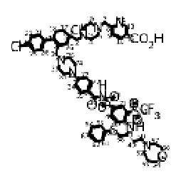 C[C@@]1(CN2CCN(Cc3ccc(C(=O)O)cn3)CC2)CCC(c2ccc(Cl)cc2)=C(CN2CCN(c3ccc(C(=O)NS(=O)(=O)c4ccc(N[C@H](CCN5CCCOCC5)CSc5ccccc5)c(S(=O)(=O)C(F)(F)F)c4)cc3)CC2)C1